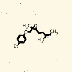 C/C=C(/C)CCC1OC1(C)COc1ccc(CC)cc1